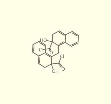 O=C(Cl)C1(O)CC=c2ccccc2=C1CC1=c2ccccc2=CCC1(O)C(=O)Cl